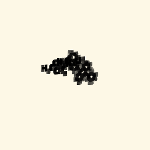 CC(C)(C)c1ccc(N2c3ccc(-c4c5ccccc5c(-c5ccccc5)c5ccccc45)cc3C3(C)CCCCC23C)cc1